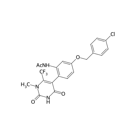 CC(=O)Nc1cc(OCc2ccc(Cl)cc2)ccc1-c1c(C(F)(F)F)n(C)c(=O)[nH]c1=O